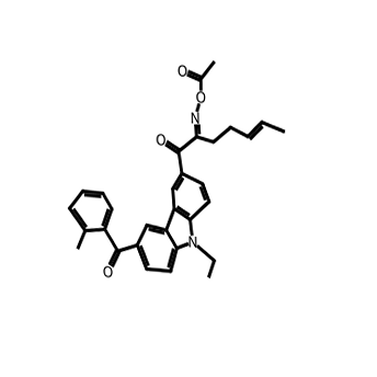 C/C=C/CC/C(=N\OC(C)=O)C(=O)c1ccc2c(c1)c1cc(C(=O)c3ccccc3C)ccc1n2CC